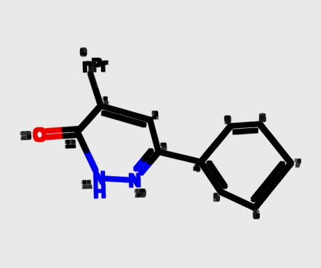 CCCc1cc(-c2ccccc2)n[nH]c1=O